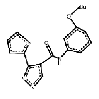 CCC(C)Oc1cccc(NC(=O)c2c[nH]nc2-c2cccs2)c1